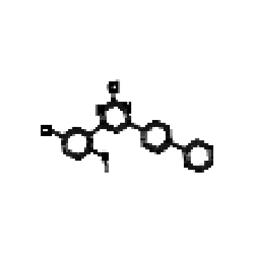 CSc1ccc(Cl)cc1-c1cc(-c2ccc(-c3ccccc3)cc2)nc(Cl)n1